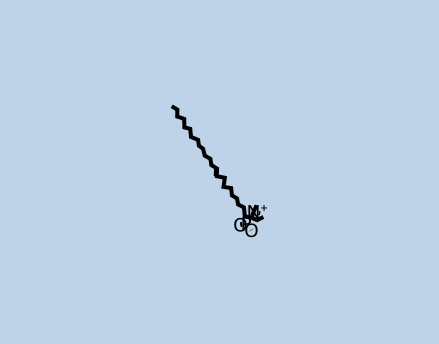 CCCCCCCCCCCCCC=CCCCCCCCCC(CC)(P(=O)=O)[N+](C)(C)C